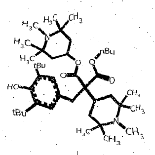 CCCCOC(=O)C(Cc1cc(C(C)(C)C)c(O)c(C(C)(C)C)c1)(C(=O)OC1CC(C)(C)N(C)C(C)(C)C1)C1CC(C)(C)N(C)C(C)(C)C1